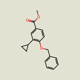 COC(=O)c1ccc(OCc2ccccc2)c(C2CC2)c1